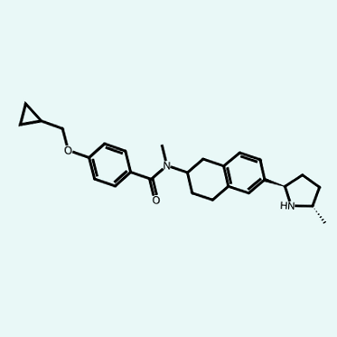 C[C@H]1CC[C@H](c2ccc3c(c2)CCC(N(C)C(=O)c2ccc(OCC4CC4)cc2)C3)N1